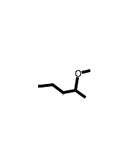 CC[CH]C(C)OC